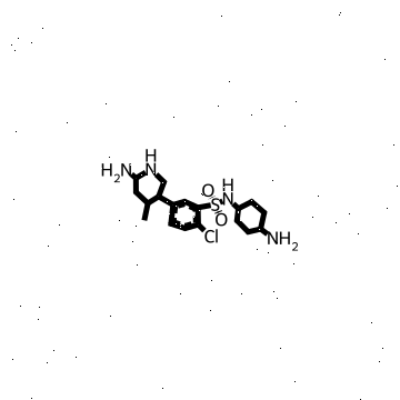 CC1CC(N)NCC1c1ccc(Cl)c(S(=O)(=O)NC2CCC(N)CC2)c1